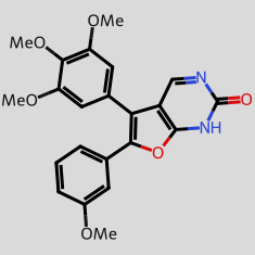 COc1cccc(-c2oc3[nH]c(=O)ncc3c2-c2cc(OC)c(OC)c(OC)c2)c1